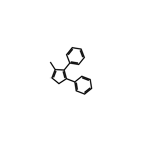 CC1=[C]CC(c2ccccc2)=C1c1ccccc1